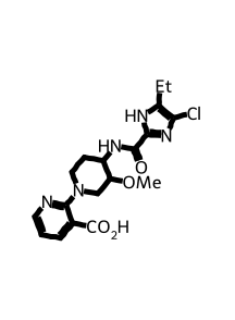 CCc1[nH]c(C(=O)NC2CCN(c3ncccc3C(=O)O)CC2OC)nc1Cl